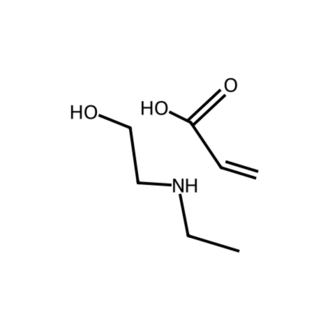 C=CC(=O)O.CCNCCO